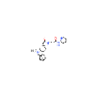 CN(C)[C@]1(c2ccccc2)CC[C@@]2(CC1)CC(=O)N(CCC(=O)Nc1ccccn1)C2